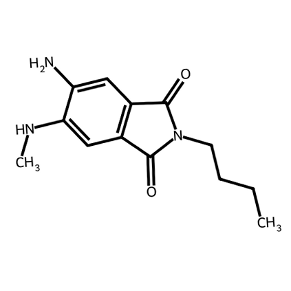 CCCCN1C(=O)c2cc(N)c(NC)cc2C1=O